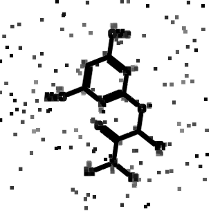 CCN(CC)C(=O)C(Oc1nc(OC)cc(OC)n1)C(C)C